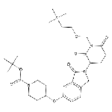 CC(C)(C)OC(=O)N1CCC(Oc2ccc3c(c2)C(=O)N(C2CCC(=O)N(COCC[Si](C)(C)C)C2=O)C3)CC1